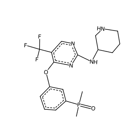 CP(C)(=O)c1cccc(Oc2nc(NC3CCCNC3)ncc2C(F)(F)F)c1